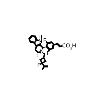 C=C(C)C1(F)CC(CN2[C@H](c3c(F)cc(/C=C/C(=O)O)cc3F)c3[nH]c4ccccc4c3C[C@H]2C)C1